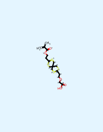 C=C(C)C(=O)OCCC1SCC2(CSC(CCOCC(=O)O)SC2)CS1